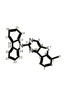 Cc1cccc2c1sc1cnc(-n3c4ccccc4c4ccccc43)nc12